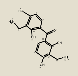 NCc1c(O)ccc(C(=O)c2ccc(O)c(CN)c2O)c1O